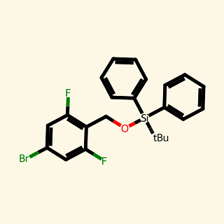 CC(C)(C)[Si](OCc1c(F)cc(Br)cc1F)(c1ccccc1)c1ccccc1